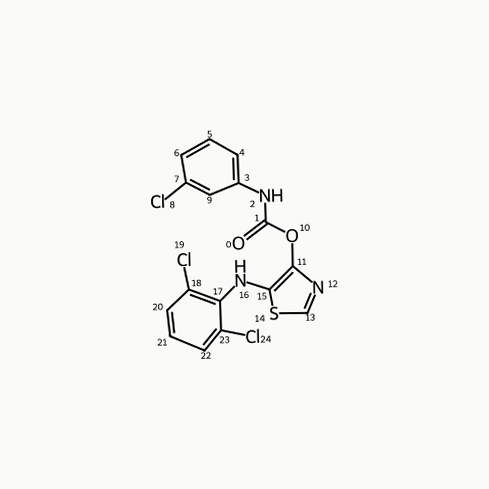 O=C(Nc1cccc(Cl)c1)Oc1ncsc1Nc1c(Cl)cccc1Cl